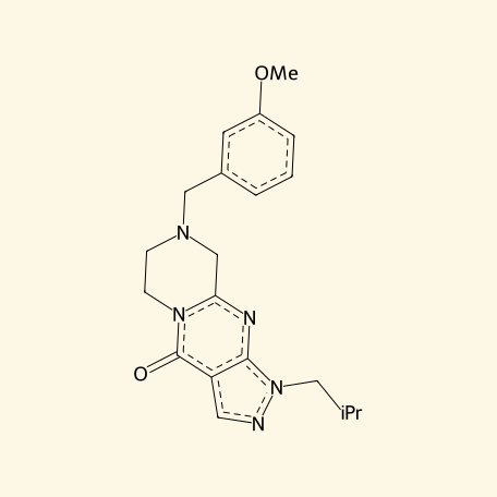 COc1cccc(CN2CCn3c(nc4c(cnn4CC(C)C)c3=O)C2)c1